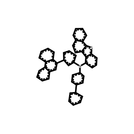 c1ccc(-c2ccc(N(c3cccc(-c4cc5ccccc5c5ccccc45)c3)c3cccc4sc5c6ccccc6ccc5c34)cc2)cc1